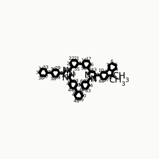 CC1(C)c2ccccc2-c2cc(-c3cc(-c4cccc(-c5cccc(-c6nc(-c7ccc(-c8ccccc8)cc7)nc(-c7ccc(-c8ccccc8)cc7)n6)c5)c4)nc(-c4ccccc4)n3)ccc21